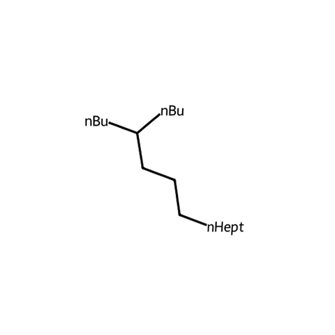 CCCCCCCCCCC(CCCC)CCCC